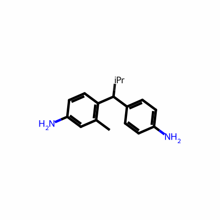 Cc1cc(N)ccc1C(c1ccc(N)cc1)C(C)C